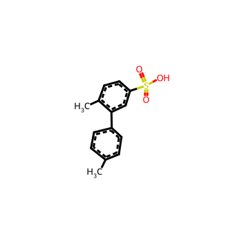 Cc1ccc(-c2cc(S(=O)(=O)O)ccc2C)cc1